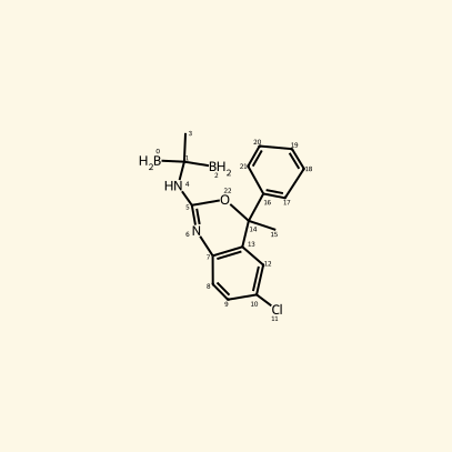 BC(B)(C)NC1=Nc2ccc(Cl)cc2C(C)(c2ccccc2)O1